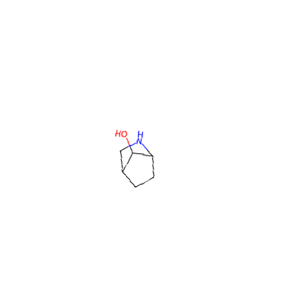 OC1C2CCC1NC2